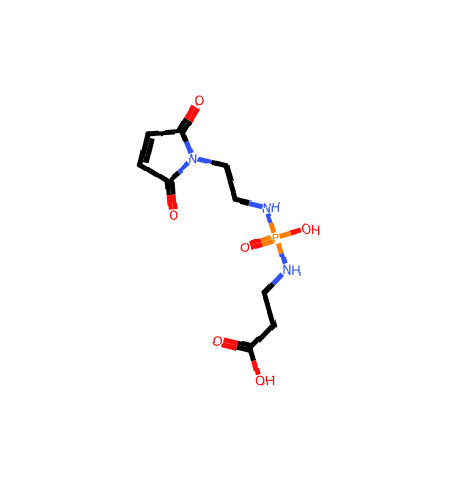 O=C(O)CCNP(=O)(O)NCCN1C(=O)C=CC1=O